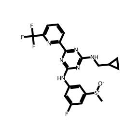 C[S+]([O-])c1cc(F)cc(Nc2nc(NCC3CC3)nc(-c3cccc(C(F)(F)F)n3)n2)c1